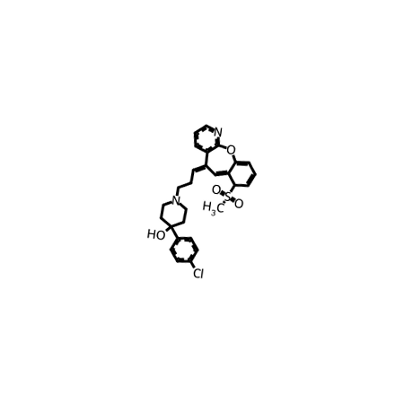 CS(=O)(=O)C1C=CC=C2Oc3ncccc3C(=CCCN3CCC(O)(c4ccc(Cl)cc4)CC3)C=C21